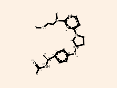 COCCN(C)c1nccc(N2CC[C@@H](Oc3ccc([C@H](C)NC(C)=O)cc3)C2)n1